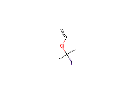 C=COC(C)(C)I